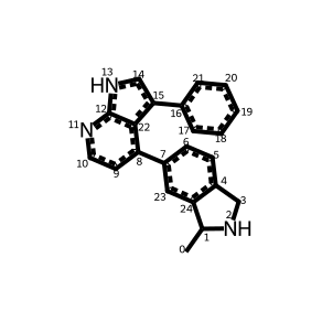 CC1NCc2ccc(-c3ccnc4[nH]cc(-c5ccccc5)c34)cc21